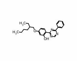 CCCCC(CC)COc1ccc(-c2ncnc(-c3ccccc3)n2)c(O)c1